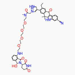 CCc1cc2c(cc1/C(C=N)=C/NCC(=O)N(C)CCOCCOCCOCCOCCNc1cccc3c1C(=O)N(C1CCC(=O)NC1=O)C3O)C(C)(C)c1[nH]c3cc(C#N)ccc3c1C2=O